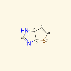 C1=CC2NC=NC2S1